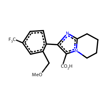 COCc1cc(C(F)(F)F)ccc1-c1nc2n(c1C(=O)O)CCCC2